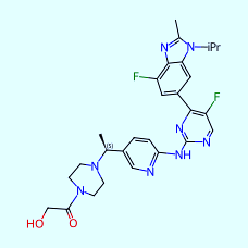 Cc1nc2c(F)cc(-c3nc(Nc4ccc([C@H](C)N5CCN(C(=O)CO)CC5)cn4)ncc3F)cc2n1C(C)C